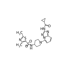 Cc1nc(C)c(S(=O)(=O)NC2CCN(c3cccc4nc(NC(=O)C5CC5)nn34)CC2)s1